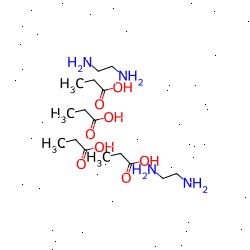 CCC(=O)O.CCC(=O)O.CCC(=O)O.CCC(=O)O.NCCN.NCCN